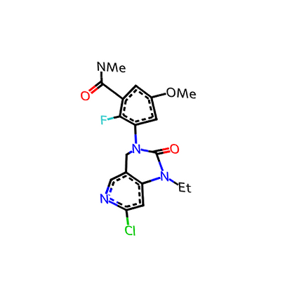 CCN1C(=O)N(c2cc(OC)cc(C(=O)NC)c2F)Cc2cnc(Cl)cc21